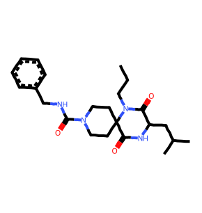 CCCN1C(=O)C(CC(C)C)NC(=O)C12CCN(C(=O)NCc1ccccc1)CC2